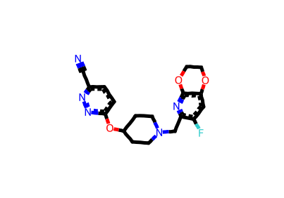 N#Cc1ccc(OC2CCN(Cc3nc4c(cc3F)OCCO4)CC2)nn1